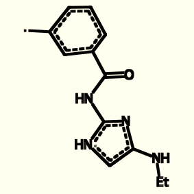 [CH2]c1cccc(C(=O)Nc2nc(NCC)c[nH]2)c1